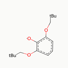 CC(C)(C)COc1cccc(OCC(C)(C)C)c1[O]